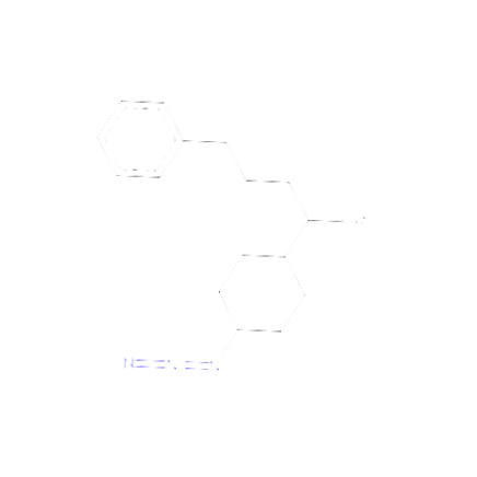 CC(=O)OC(CCCc1ccccc1)C1CCC(N=[N+]=[N-])CC1